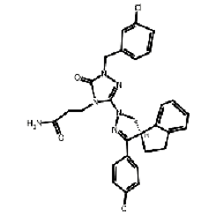 NC(=O)CCn1c(N2C[C@]3(CCc4ccccc43)C(c3ccc(Cl)cc3)=N2)nn(Cc2cccc(Cl)c2)c1=O